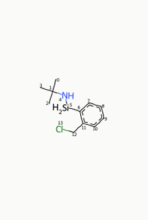 CC(C)(C)N[SiH2]c1ccccc1CCl